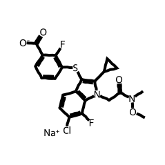 CON(C)C(=O)Cn1c(C2CC2)c(Sc2cccc(C(=O)[O-])c2F)c2ccc(Cl)c(F)c21.[Na+]